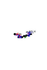 CC(C)C(NC(=O)O)C(=O)N1CC2(CC2)CC1c1ncc(-c2ccc3c(c2)C(F)(F)c2cc(-c4ccc5[nH]c([C@@H]6C7CCC(C7)N6C(=O)C(NC(=O)OCc6ccccc6)C(C)C)nc5c4)ccc2-3)[nH]1